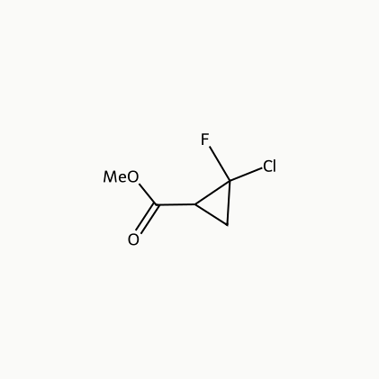 COC(=O)C1CC1(F)Cl